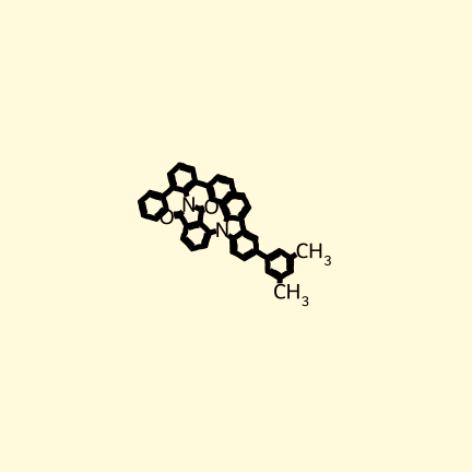 Cc1cc(C)cc(-c2ccc3c(c2)c2ccccc2n3-c2cccc3c2C(=O)N(c2c(-c4ccccc4)cccc2-c2ccccc2)C3=O)c1